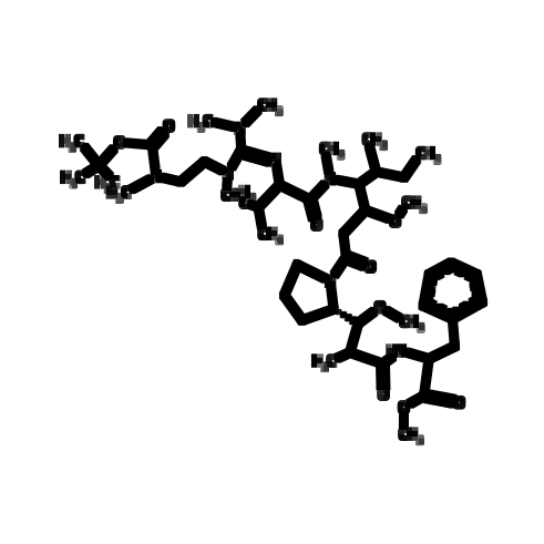 CCC(C)C(C(CC(=O)N1CCC[C@H]1C(OC)C(C)C(=O)NC(Cc1ccccc1)C(=O)OC)OC)N(C)C(=O)C(/N=C(/N(C)C)N(C)CCN(C)C(=O)OC(C)(C)C)C(C)C